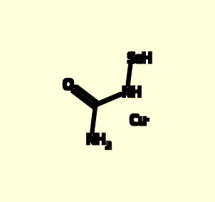 NC(=O)N[SeH].[Cu]